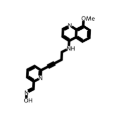 COc1cccc2c(NCCC#Cc3cccc(C=NO)n3)ccnc12